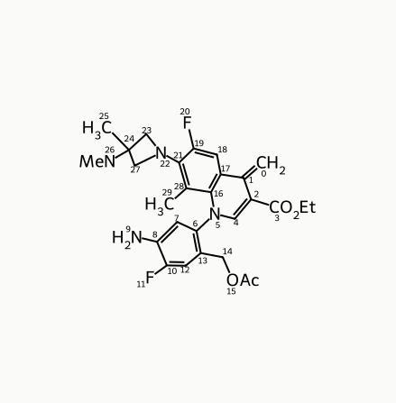 C=C1C(C(=O)OCC)=CN(c2cc(N)c(F)cc2COC(C)=O)c2c1cc(F)c(N1CC(C)(NC)C1)c2C